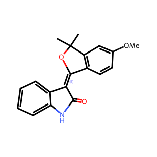 COc1ccc2c(c1)C(C)(C)O/C2=C1/C(=O)Nc2ccccc21